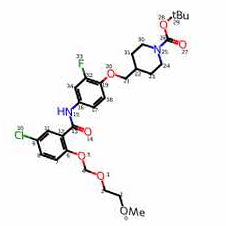 COCCOCOc1ccc(Cl)cc1C(=O)Nc1ccc(OCC2CCN(C(=O)OC(C)(C)C)CC2)c(F)c1